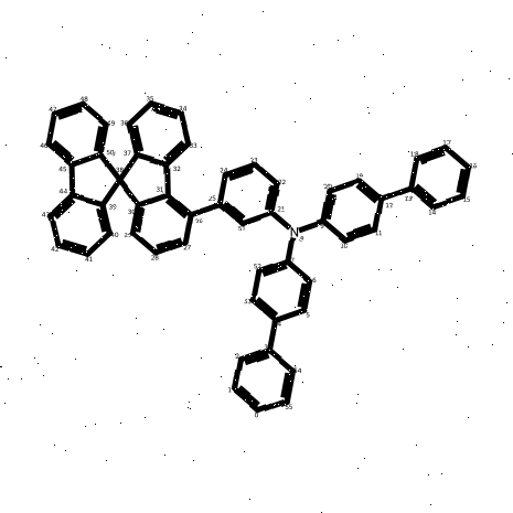 c1ccc(-c2ccc(N(c3ccc(-c4ccccc4)cc3)c3cccc(-c4cccc5c4-c4ccccc4C54c5ccccc5-c5ccccc54)c3)cc2)cc1